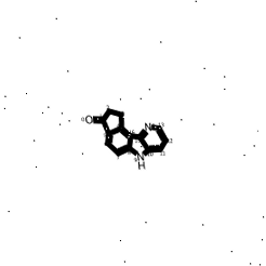 O=C1CCc2c1ccc1[nH]c3cccnc3c21